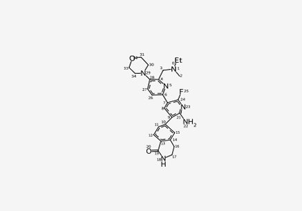 CCN(C)Cc1nc(-c2cc(-c3ccc4c(c3)CCNC4=O)c(N)nc2F)ccc1N1CCOCC1